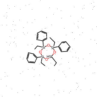 CC[SiH]1O[Si](CC)(c2ccccc2)O[Si](CC)(c2ccccc2)O[Si](CC)(c2ccccc2)O1